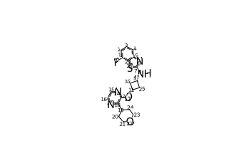 Fc1cccc2nc(N[C@H]3C[C@@H](Oc4nccnc4C4CCOCC4)C3)sc12